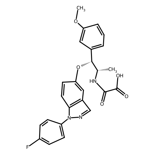 COc1cccc([C@@H](Oc2ccc3c(cnn3-c3ccc(F)cc3)c2)[C@H](C)NC(=O)C(=O)O)c1